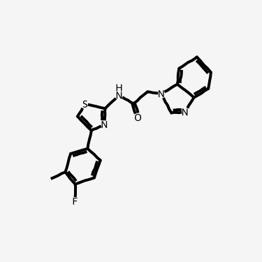 Cc1cc(-c2csc(NC(=O)Cn3cnc4ccccc43)n2)ccc1F